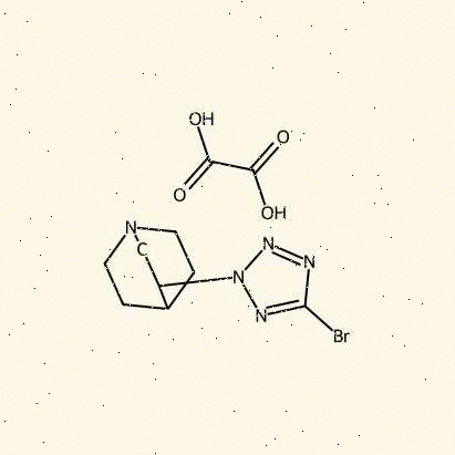 Brc1nnn(C2CN3CCC2CC3)n1.O=C(O)C(=O)O